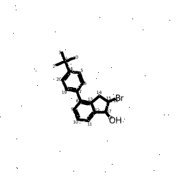 CC(C)(C)c1ccc(-c2cccc3c2CC(Br)C3O)cc1